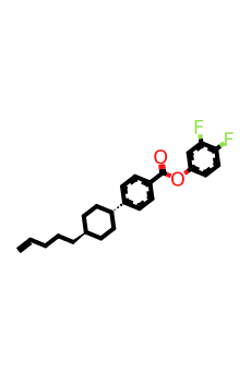 C=CCCC[C@H]1CC[C@H](c2ccc(C(=O)Oc3ccc(F)c(F)c3)cc2)CC1